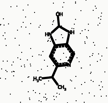 CC(C)c1cc2c(cn1)NC(O)N2